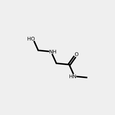 CNC(=O)CNCO